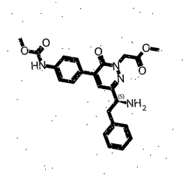 COC(=O)Cn1nc([C@@H](N)Cc2ccccc2)cc(-c2ccc(NC(=O)OC)cc2)c1=O